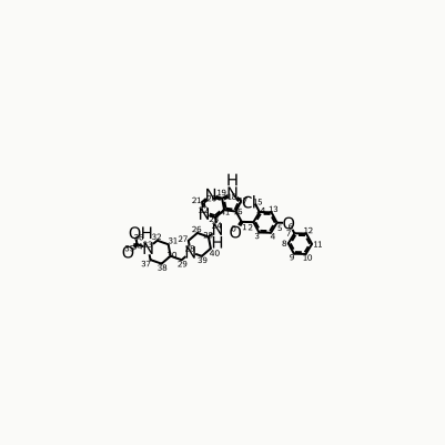 O=C(c1ccc(Oc2ccccc2)cc1Cl)c1c[nH]c2ncnc(NC3CCN(CC4CCN(C(=O)O)CC4)CC3)c12